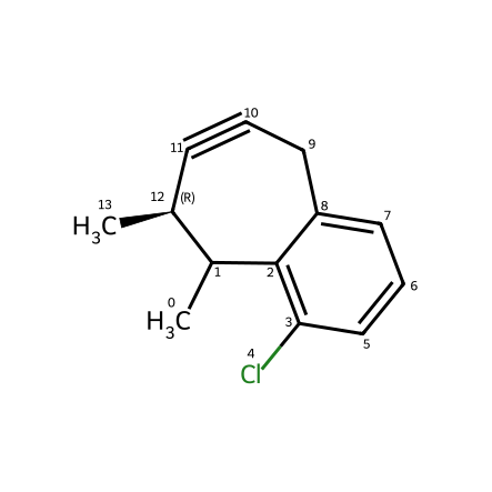 CC1c2c(Cl)cccc2CC#C[C@@H]1C